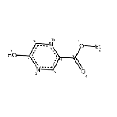 CCOC(=O)c1cnc(O)cn1